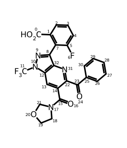 O=C(O)c1cccc(F)c1-c1nn(C(F)(F)F)c2cc(C(=O)N3CCOC3)c(C(=O)c3ccccc3)nc12